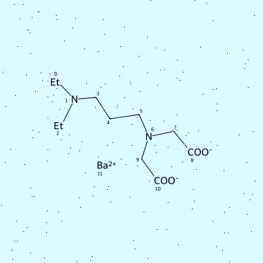 CCN(CC)CCCN(CC(=O)[O-])CC(=O)[O-].[Ba+2]